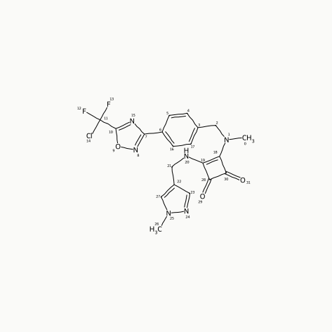 CN(Cc1ccc(-c2noc(C(F)(F)Cl)n2)cc1)c1c(NCc2cnn(C)c2)c(=O)c1=O